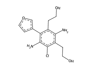 Nc1c(CCO)c(Cl)c(N)c(-c2ccoc2)c1CCO